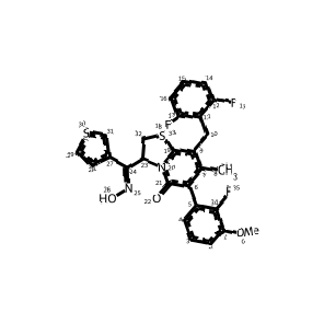 COc1cccc(-c2c(C)c(Cc3c(F)cccc3F)c3n(c2=O)C(C(=NO)c2ccsc2)CS3)c1F